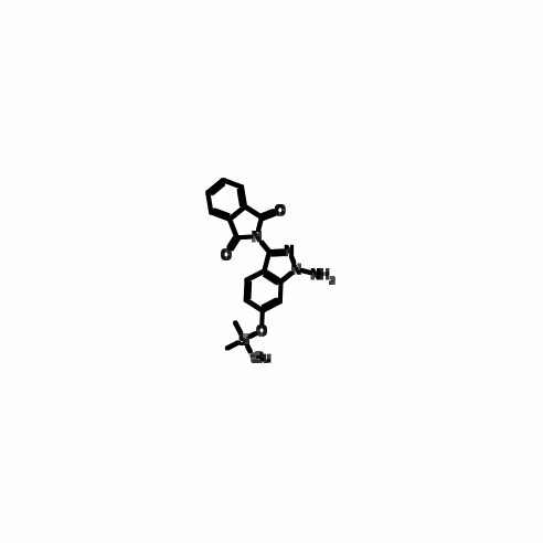 CC(C)(C)[Si](C)(C)Oc1ccc2c(N3C(=O)c4ccccc4C3=O)nn(N)c2c1